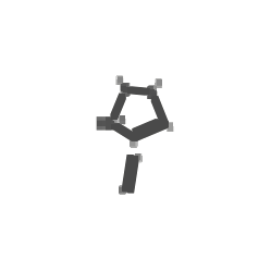 C1=CSSN1.C=C